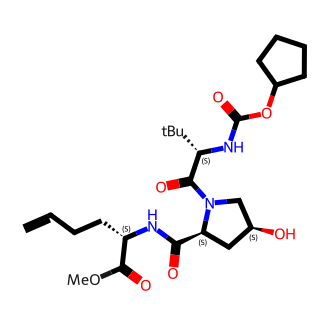 C=CCC[C@H](NC(=O)[C@@H]1C[C@H](O)CN1C(=O)[C@@H](NC(=O)OC1CCCC1)C(C)(C)C)C(=O)OC